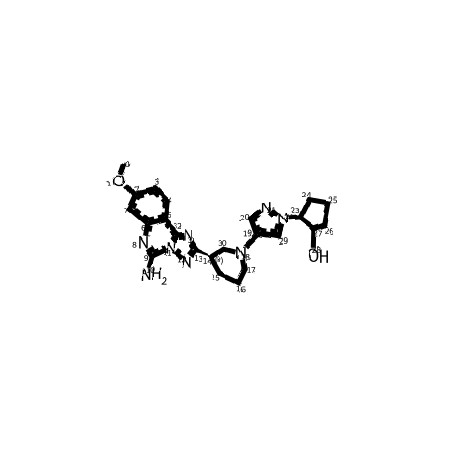 COc1ccc2c(c1)nc(N)n1nc([C@@H]3CCCN(c4cnn(C5CCCC5O)c4)C3)nc21